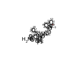 CC(C)(C)[Si](OCC1CN(C(=O)CC(CSc2ccccc2)Nc2ccc(S(N)(=O)=O)cc2S(=O)(=O)C(F)(F)F)CCO1)(c1ccccc1)c1ccccc1